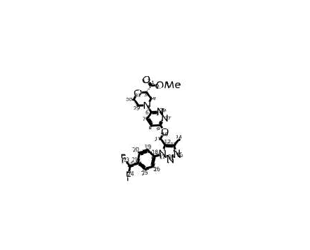 COC(=O)[C@@H]1CN(c2ccc(OCc3c(C)nnn3-c3ccc(C(F)F)cc3)nn2)CCO1